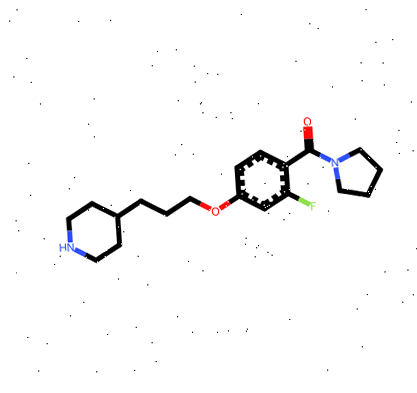 O=C(c1ccc(OCCCC2CCNCC2)cc1F)N1CCCC1